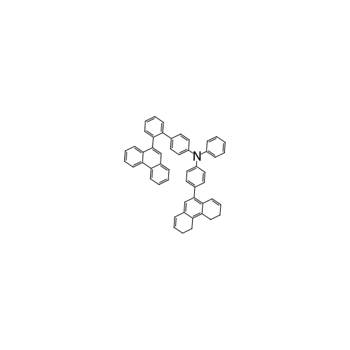 C1=Cc2cc(-c3ccc(N(c4ccccc4)c4ccc(-c5ccccc5-c5cc6ccccc6c6ccccc56)cc4)cc3)c3c(c2CC1)CCC=C3